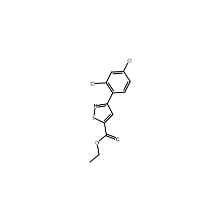 CCOC(=O)c1cc(-c2ccc(Cl)cc2Cl)ns1